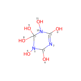 OC1=NC(O)N(O)C(O)(O)N1O